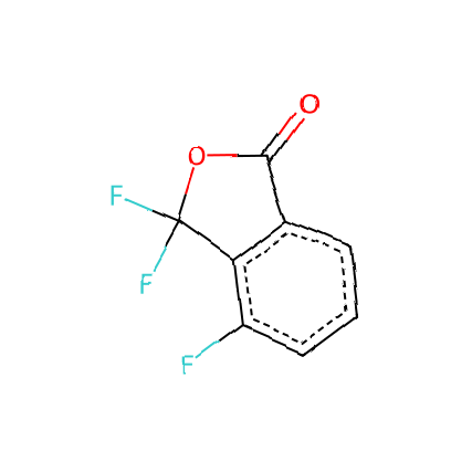 O=C1OC(F)(F)c2c(F)cccc21